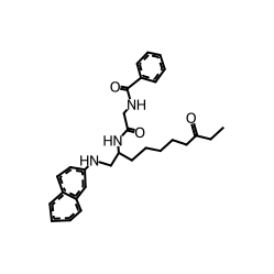 CCC(=O)CCCCCC(CNc1ccc2ccccc2c1)NC(=O)CNC(=O)c1ccccc1